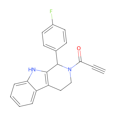 C#CC(=O)N1CCc2c([nH]c3ccccc23)C1c1ccc(F)cc1